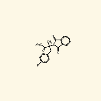 COC(=O)C(C)(Cc1ccc(F)cc1)N1C(=O)c2ccccc2C1=O